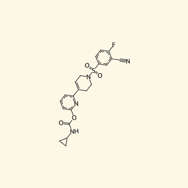 N#Cc1cc(S(=O)(=O)N2CC=C(c3cccc(OC(=O)NC4CC4)n3)CC2)ccc1F